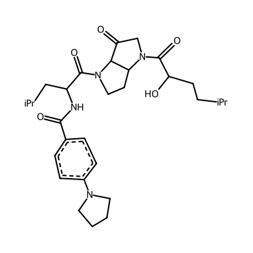 CC(C)CCC(O)C(=O)N1CC(=O)C2C1CCN2C(=O)C(CC(C)C)NC(=O)c1ccc(N2CCCC2)cc1